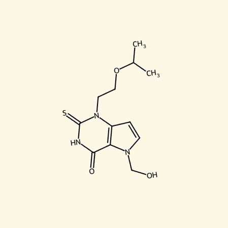 CC(C)OCCn1c(=S)[nH]c(=O)c2c1ccn2CO